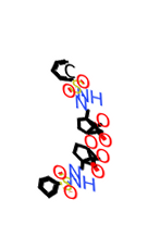 CC1(C)C2(C=NNS(=O)(=O)c3ccccc3)CCC1(OC13CCC(C=NNS(=O)(=O)c4ccccc4)(C(=O)C1=O)C3(C)C)C(=O)C2=O